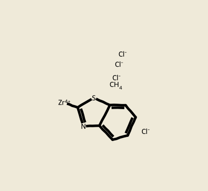 C.[Cl-].[Cl-].[Cl-].[Cl-].[Zr+4][c]1nc2ccccc2s1